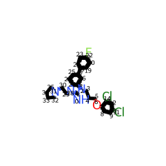 N=c1n(CCCOc2ccc(Cl)cc2Cl)c2cc(-c3ccc(F)cc3)ccc2n1CCN1CCCC1